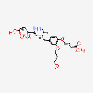 COCCCOc1cc(C[C@@H](C[C@H](N)[C@@H](O)C[C@@H](C)C(=O)O)C(C)C)ccc1OCCCC(=O)O